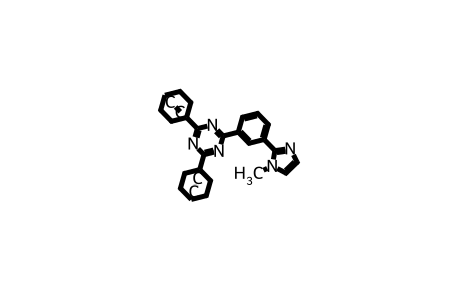 Cn1ccnc1-c1cccc(-c2nc(C34CCC(CC3)CC4)nc(C34CCC(CC3)CC4)n2)c1